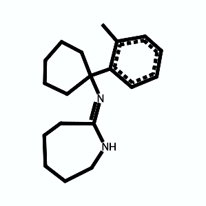 Cc1ccccc1C1(N=C2CCCCCN2)CCCCC1